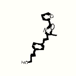 Cc1oc(-c2ccco2)nc1C=Cc1ccc(C=CCO)cc1